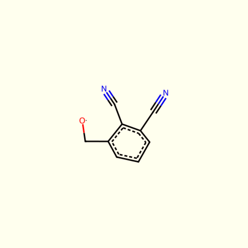 N#Cc1cccc(C[O])c1C#N